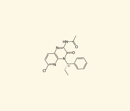 CC[C@@H](c1ccccc1)n1c(=O)c(NC(C)=O)nc2ccc(Cl)nc21